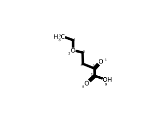 CCOCCC(=O)C(=O)O